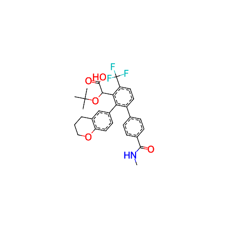 CNC(=O)c1ccc(-c2ccc(C(F)(F)F)c(C(OC(C)(C)C)C(=O)O)c2-c2ccc3c(c2)CCCO3)cc1